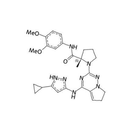 COc1ccc(NC(=O)[C@]2(C)CCCN2C2=NN3CCC=C3C(Nc3cc(C4CC4)[nH]n3)=N2)cc1OC